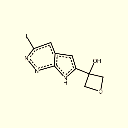 OC1(c2cc3cc(I)nnc3[nH]2)COC1